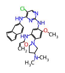 C=CC(=O)Nc1cc(Nc2ncc(Cl)c(Nc3ccc4ccccc4c3)n2)c(OC)cc1N1CCC(N(C)C)C1